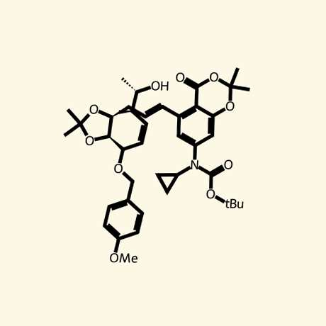 COc1ccc(COC(/C=C\[C@@H](C)[C@H](C)O)[C@H]2OC(C)(C)O[C@H]2C/C=C/c2cc(N(C(=O)OC(C)(C)C)C3CC3)cc3c2C(=O)OC(C)(C)O3)cc1